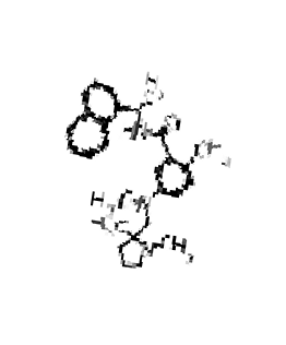 Cc1ccc(N(C)C[C@@]2(C)CCCN2C)cc1C(=O)N[C@H](C)c1cccc2ccccc12